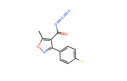 Cc1onc(-c2ccc(F)cc2)c1C(=O)N=[N+]=[N-]